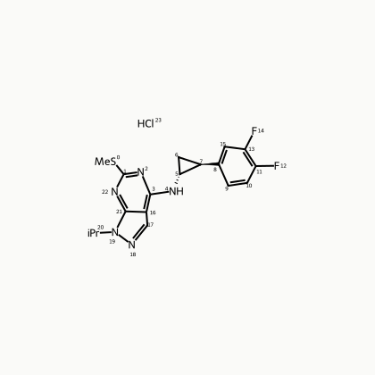 CSc1nc(N[C@@H]2C[C@H]2c2ccc(F)c(F)c2)c2cnn(C(C)C)c2n1.Cl